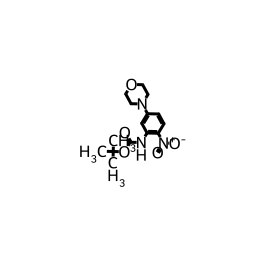 CC(C)(C)OC(=O)Nc1cc(N2CCOCC2)ccc1[N+](=O)[O-]